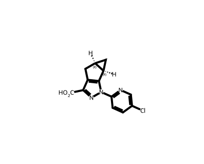 O=C(O)c1nn(-c2ccc(Cl)cn2)c2c1C[C@H]1C[C@@H]21